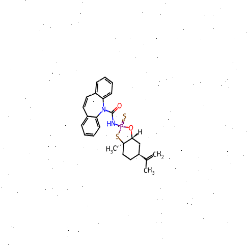 C=C(C)[C@H]1CC[C@@]2(C)SP(=S)(NC(=O)N3c4ccccc4C=Cc4ccccc43)O[C@@H]2C1